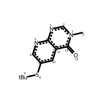 Cn1cnc2ncc(SC(C)(C)C)cc2c1=O